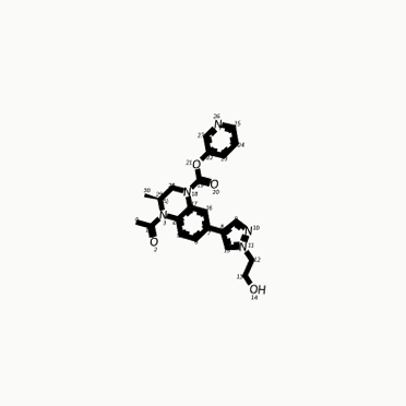 CC(=O)N1c2ccc(-c3cnn(CCO)c3)cc2N(C(=O)Oc2cccnc2)C[C@@H]1C